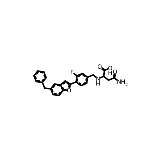 NC(=O)CC(NCc1ccc(-c2cc3cc(Cc4ccccc4)ccc3o2)c(F)c1)C(=O)O